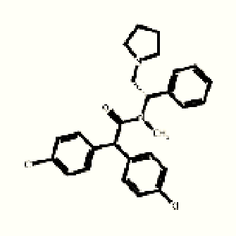 CN(C(=O)C(c1ccc(Cl)cc1)c1ccc(Cl)cc1)[C@H](CN1CCCC1)c1ccccc1